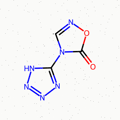 O=c1on[c]n1-c1nnn[nH]1